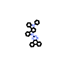 c1ccc(-n2c3ccccc3c3c4c5ccccc5n(-c5nnc6c7ccccc7c7ccccc7c6n5)c4ccc32)cc1